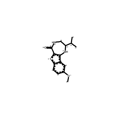 COc1ccc2sc3c(c2c1)NC(C(C)C)CNC3=O